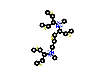 c1ccc(-c2nc(-c3ccc(-c4ccc5c(c4)sc4ccc(-c6cc(-c7ccc8sc9ccccc9c8c7)cc(-c7nc(-c8ccccc8)nc(-c8cc(-c9ccc%10sc%11ccccc%11c%10c9)cc(-c9ccc%10sc%11ccccc%11c%10c9)c8)n7)c6)cc45)cc3)nc(-c3cc(-c4ccc5sc6ccccc6c5c4)cc(-c4ccc5sc6ccccc6c5c4)c3)n2)cc1